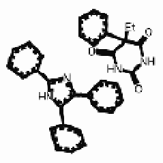 CCC1(c2ccccc2)C(=O)NC(=O)NC1=O.c1ccc(-c2nc(-c3ccccc3)c(-c3ccccc3)[nH]2)cc1